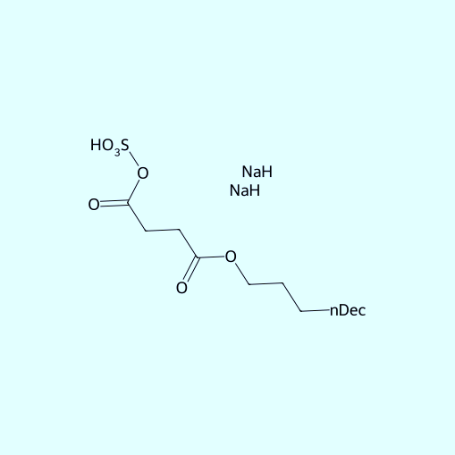 CCCCCCCCCCCCCOC(=O)CCC(=O)OS(=O)(=O)O.[NaH].[NaH]